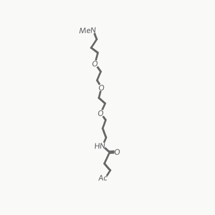 CNCCCOCCOCCOCCCNC(=O)CCC(C)=O